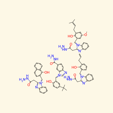 C=CCc1cccc(C=[N+]2C(CC(=O)NN)=Nc3ccccc32)c1O.CC(C)(C)c1ccc(O)c(C=[N+]2C=Nc3ccc(C(=O)NN)cc32)c1.COc1cc(C=[N+]2C(CC(=O)NN)=Nc3ccccc32)c(O)c(CC=C(C)C)c1.NNC(=O)CC1=Nc2ccccc2[N+]1=Cc1ccc2ccccc2c1O